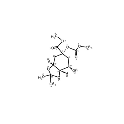 COC(=O)O[C@]1(C(=O)OC)C[C@@H](O)[C@@H]2OC(C)(C)O[C@@H]2C1